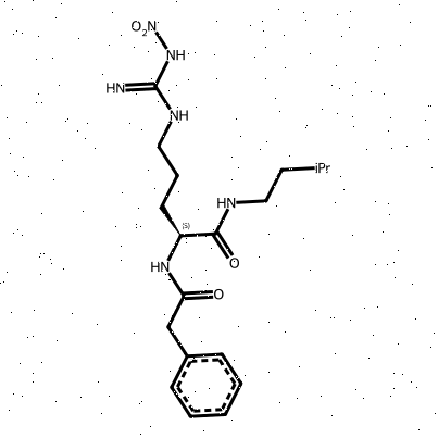 CC(C)CCNC(=O)[C@H](CCCNC(=N)N[N+](=O)[O-])NC(=O)Cc1ccccc1